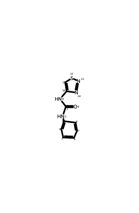 O=C(Nc1ccccc1)Nc1csnn1